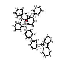 C1=CC2c3ccccc3N(c3cccc(-c4ccc(N(c5ccc(-c6ccccc6)cc5)c5ccccc5-c5cccc6ccccc56)cc4)c3)C2C=C1